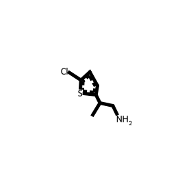 CC(CN)c1ccc(Cl)s1